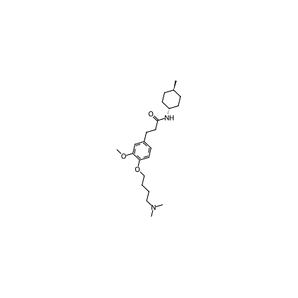 COc1cc(CCC(=O)N[C@H]2CC[C@H](C)CC2)ccc1OCCCCN(C)C